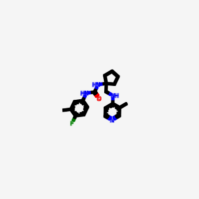 Cc1cc(NC(=O)NC2(CNc3ccncc3C)CCCC2)ccc1F